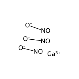 O=N[O-].O=N[O-].O=N[O-].[Ga+3]